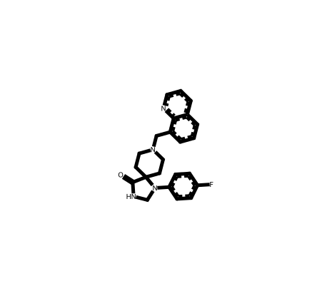 O=C1NCN(c2ccc(F)cc2)C12CCN(Cc1cccc3cccnc13)CC2